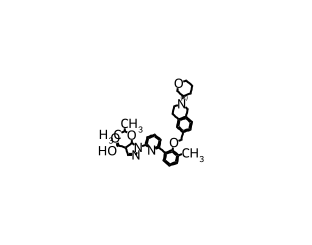 Cc1cccc(-c2cccc(N3N=CC(C(=O)O)C3OC(C)C)n2)c1OCc1ccc2c(c1)CCN([C@@H]1CCCOC1)C2